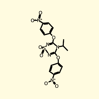 CC(C)N1C(Oc2ccc([N+](=O)[O-])cc2)=NS(=O)(=O)N=C1Oc1ccc([N+](=O)[O-])cc1